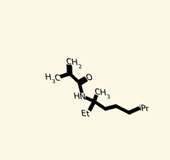 C=C(C)C(=O)NC(C)(CC)CCCC(C)C